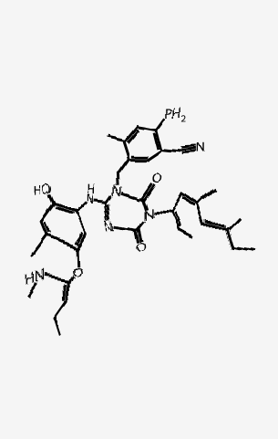 C\C=C(/C=C(C)\C=C(/C)CC)n1c(=O)nc(Nc2cc(O/C(=C/CC)NC)c(C)cc2O)n(Cc2cc(C#N)c(P)cc2C)c1=O